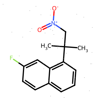 CC(C)(C[N+](=O)[O-])c1cccc2ccc(F)cc12